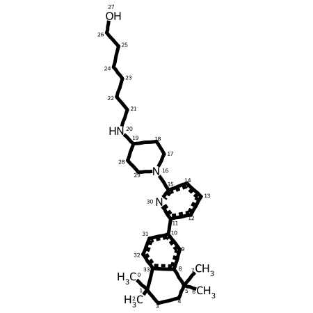 CC1(C)CCC(C)(C)c2cc(-c3cccc(N4CCC(NCCCCCCO)CC4)n3)ccc21